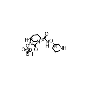 O=C(NO[C@H]1CCCNC1)[C@@H]1CC[C@@H]2CN1C(=O)N2OS(=O)(=O)O